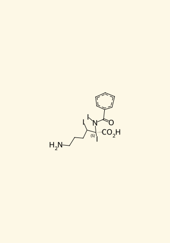 NCCCC(I)[C@@](I)(C(=O)O)N(I)C(=O)c1ccccc1